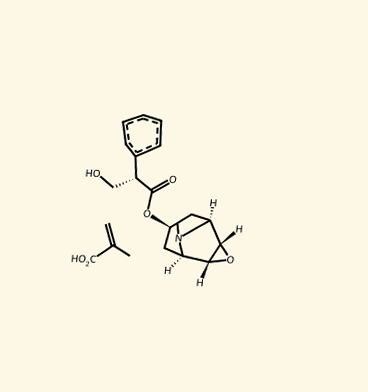 C=C(C)C(=O)O.CN1[C@@H]2C[C@@H](OC(=O)[C@H](CO)c3ccccc3)C[C@H]1[C@@H]1O[C@@H]12